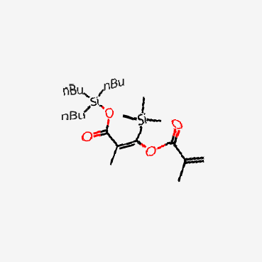 C=C(C)C(=O)OC(=C(C)C(=O)O[Si](CCCC)(CCCC)CCCC)[Si](C)(C)C